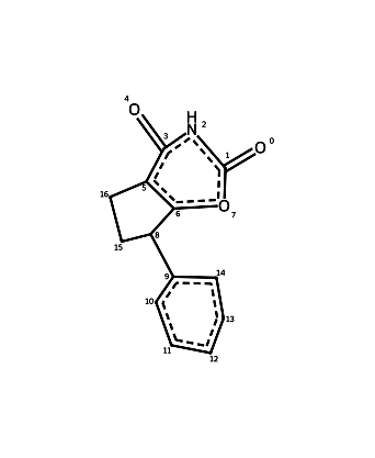 O=c1[nH]c(=O)c2c(o1)C(c1ccccc1)CC2